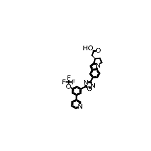 O=C(O)C[C@H]1CCn2c1cc1cc(-c3noc(-c4cc(OC(F)(F)F)cc(-c5cccnc5)c4)n3)ccc12